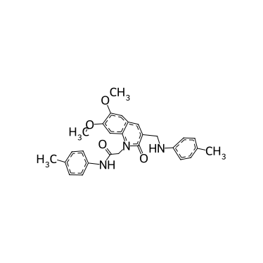 COc1cc2cc(CNc3ccc(C)cc3)c(=O)n(CC(=O)Nc3ccc(C)cc3)c2cc1OC